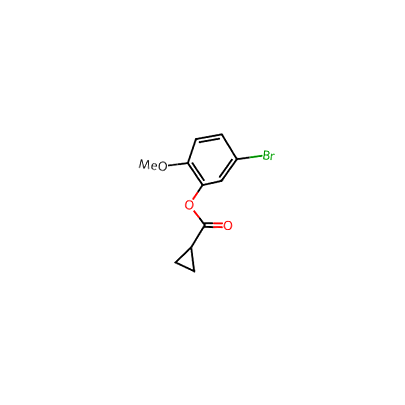 COc1ccc(Br)cc1OC(=O)C1CC1